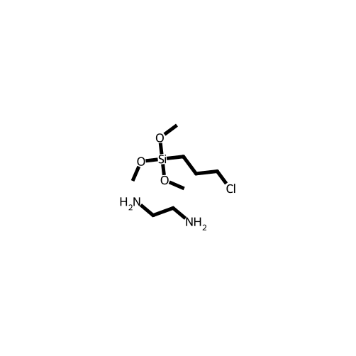 CO[Si](CCCCl)(OC)OC.NCCN